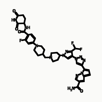 NC(=O)c1cnn2c(-c3cn(-c4cn(C5CCN(CC6CCN(c7ccc(C(=O)NC8CCC(=O)NC8=O)c(F)c7)CC6)CC5)nc4C(F)F)nn3)ccc2c1